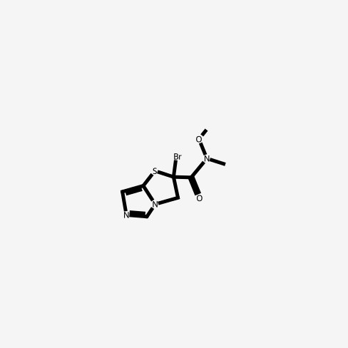 CON(C)C(=O)C1(Br)Cn2cncc2S1